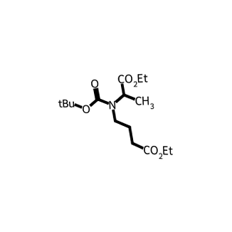 CCOC(=O)CCCN(C(=O)OC(C)(C)C)C(C)C(=O)OCC